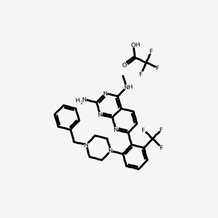 CNc1nc(N)nc2nc(-c3c(N4CCN(Cc5ccccc5)CC4)cccc3C(F)(F)F)ccc12.O=C(O)C(F)(F)F